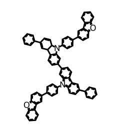 C1=CC2C(C=C1c1ccccc1)c1ccc(-c3ccc4c5cc(-c6ccccc6)ccc5n(-c5ccc(-c6ccc7oc8ccccc8c7c6)cc5)c4c3)cc1N2c1ccc(-c2ccc3oc4ccccc4c3c2)cc1